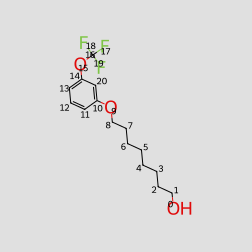 OCCCCCCCCOc1cccc(OC(F)(F)F)c1